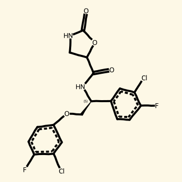 O=C1NCC(C(=O)N[C@H](COc2ccc(F)c(Cl)c2)c2ccc(F)c(Cl)c2)O1